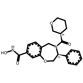 O=C(NO)c1ccc2c(c1)OC[C@H](c1ccccc1)N(C(=O)[C@@H]1CCCOC1)C2